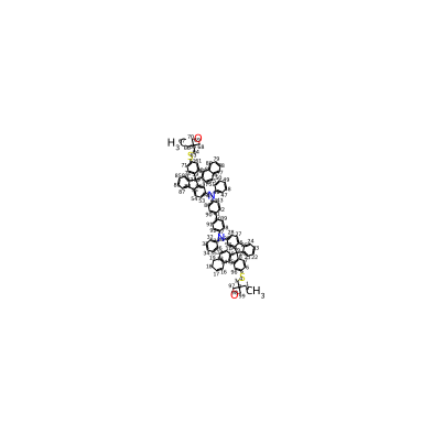 CCC1(CSc2ccc(C3(c4ccc5c(c4)C=CCC5)c4ccccc4-c4ccc(N(c5ccccc5)c5ccc(-c6ccc(N(c7ccccc7)c7ccc8c(c7)C(c7ccc(SCC9(CC)COC9)cc7)(c7ccc9ccccc9c7)c7ccccc7-8)cc6)cc5)cc43)cc2)COC1